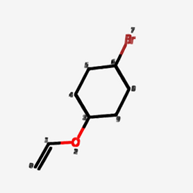 C=COC1CCC(Br)CC1